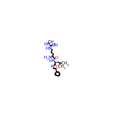 CNC(=N)NCCC[C@@H](N)C(=O)N[C@@H](CC(C)C)c1ncc(-c2ccccc2)o1